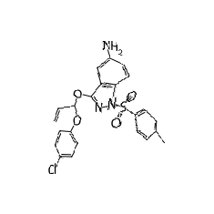 C=CC(Oc1ccc(Cl)cc1)Oc1nn(S(=O)(=O)c2ccc(C)cc2)c2ccc(N)cc12